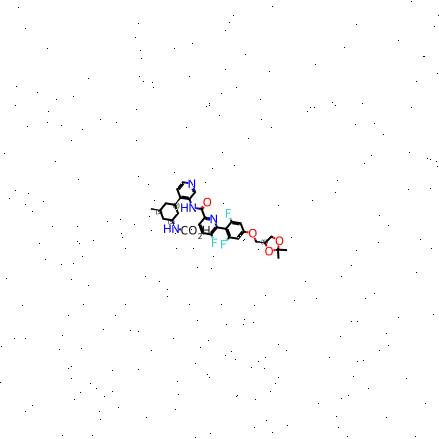 C[C@@H]1C[C@H](NC(=O)O)C[C@H](c2ccncc2NC(=O)c2ccc(F)c(-c3c(F)cc(OC[C@H]4COC(C)(C)O4)cc3F)n2)C1